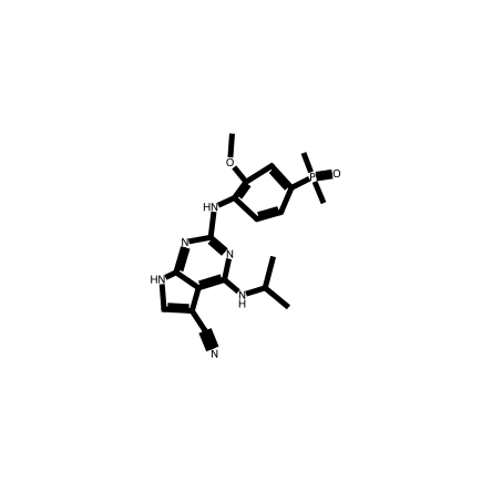 COc1cc(P(C)(C)=O)ccc1Nc1nc(NC(C)C)c2c(C#N)c[nH]c2n1